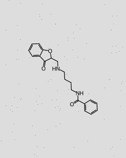 O=C(NCCCCNCC1Oc2ccccc2C1=O)c1ccccc1